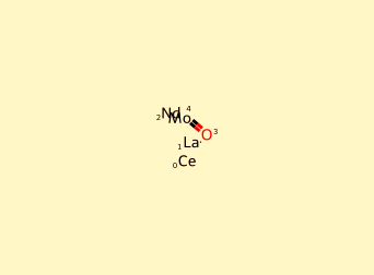 [Ce].[La].[Nd].[O]=[Mo]